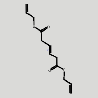 C=CCOC(=O)C/C=C/CC(=O)OCC=C